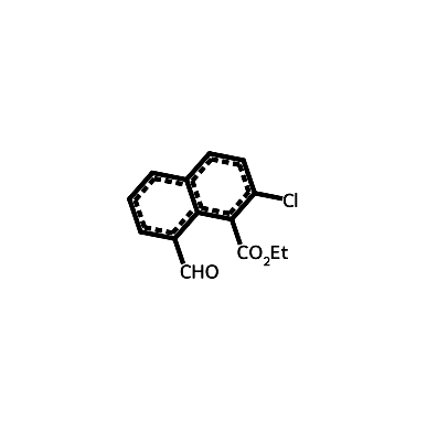 CCOC(=O)c1c(Cl)ccc2cccc(C=O)c12